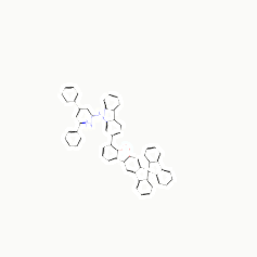 c1ccc(-c2cc(-c3ccccc3)nc(-n3c4ccccc4c4ccc(-c5cccc6c5oc5cc7c(cc56)-c5ccccc5C75c6ccccc6-c6ccccc65)cc43)c2)cc1